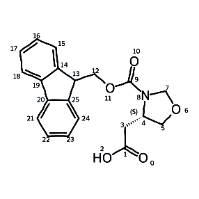 O=C(O)C[C@H]1COCN1C(=O)OCC1c2ccccc2-c2ccccc21